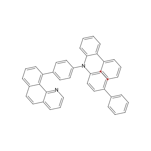 c1ccc(-c2ccc(N(c3ccc(-c4cccc5ccc6cccnc6c45)cc3)c3ccccc3-c3ccccc3)cc2)cc1